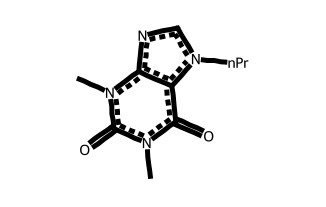 [CH2]CCn1cnc2c1c(=O)n(C)c(=O)n2C